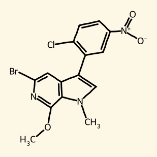 COc1nc(Br)cc2c(-c3cc([N+](=O)[O-])ccc3Cl)cn(C)c12